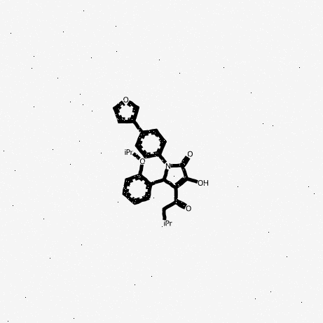 CC(C)CC(=O)C1=C(O)C(=O)N(c2ccc(-c3ccoc3)cc2)C1c1ccccc1OC(C)C